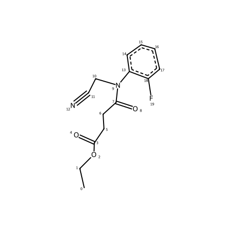 CCOC(=O)CCC(=O)N(CC#N)c1ccccc1F